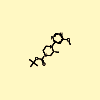 COc1cc(N2CCN(C(=O)OC(C)(C)C)C[C@@H]2C)ncn1